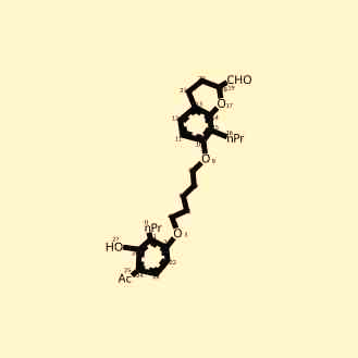 CCCc1c(OCCCCCOc2ccc3c(c2CCC)OC(C=O)CC3)ccc(C(C)=O)c1O